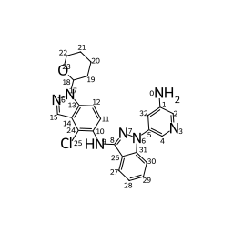 Nc1cncc(-n2nc(Nc3ccc4c(cnn4C4CCCCO4)c3Cl)c3ccccc32)c1